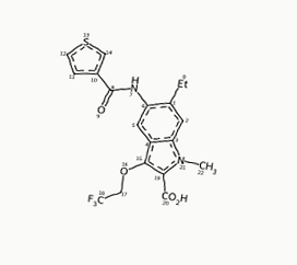 CCc1cc2c(cc1NC(=O)c1ccsc1)c(OCC(F)(F)F)c(C(=O)O)n2C